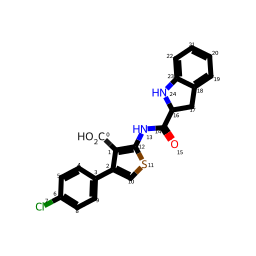 O=C(O)c1c(-c2ccc(Cl)cc2)csc1NC(=O)C1Cc2ccccc2N1